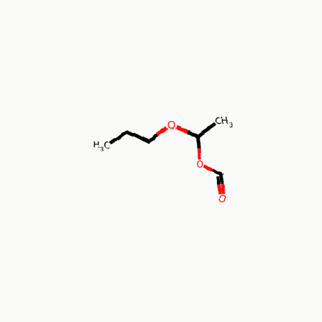 CCCOC(C)O[C]=O